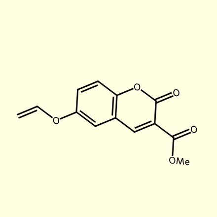 C=COc1ccc2oc(=O)c(C(=O)OC)cc2c1